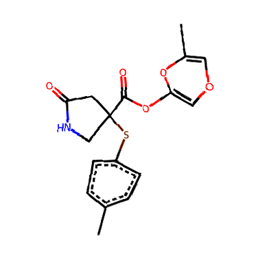 CC1=COC=C(OC(=O)C2(Sc3ccc(C)cc3)CNC(=O)C2)O1